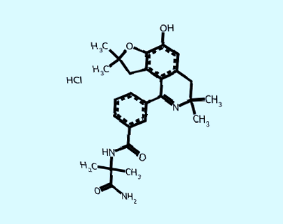 CC1(C)Cc2cc(O)c3c(c2C(c2cccc(C(=O)NC(C)(C)C(N)=O)c2)=N1)CC(C)(C)O3.Cl